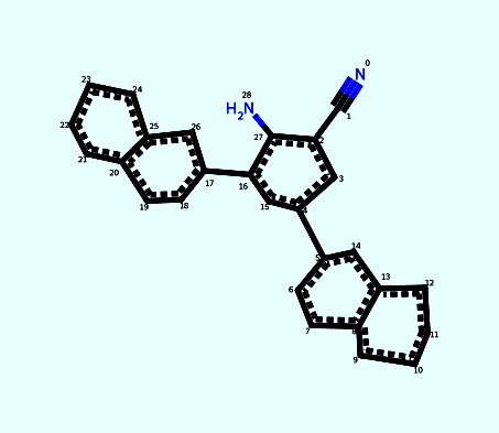 N#Cc1cc(-c2ccc3ccccc3c2)cc(-c2ccc3ccccc3c2)c1N